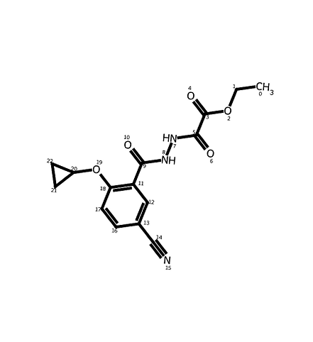 CCOC(=O)C(=O)NNC(=O)c1cc(C#N)ccc1OC1CC1